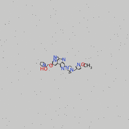 COc1ccc(CN2CCN(c3ccc(-c4cc(OCCN5C6CCC5C(O)C6)cn5ncc(C#N)c45)cn3)CC23CC3)cn1